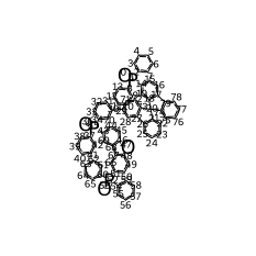 O=P(c1ccccc1)(c1ccccc1)c1ccc2c(c1)C1(c3ccccc3-c3cc(-c4cccc(P(=O)(c5ccccc5)c5ccc6oc7ccc(P(=O)(c8ccccc8)c8ccccc8)cc7c6c5)c4)ccc31)c1ccccc1-2